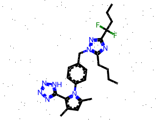 CCCCc1nc(C(F)(F)CCC)nn1Cc1ccc(-n2c(C)cc(C)c2-c2nnn[nH]2)cc1